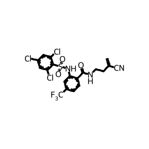 C=C(C#N)CCNC(=O)c1ccc(C(F)(F)F)cc1NS(=O)(=O)c1c(Cl)cc(Cl)cc1Cl